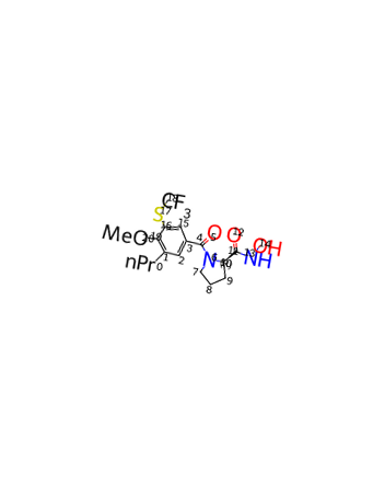 CCCc1cc(C(=O)N2CCC[C@@H]2C(=O)NO)cc(SC(F)(F)F)c1OC